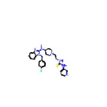 Fc1ccc(Cn2c(NC3CCN(CCNC(=S)Nc4cccnc4)CC3)nc3ccccc32)cc1